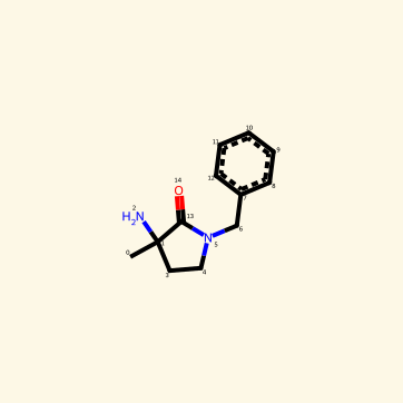 CC1(N)CCN(Cc2ccccc2)C1=O